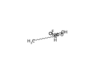 CCCCCCCCCCCCCCCC(Nc1ccc(CC(=O)O)cc1)Nc1ccccc1F